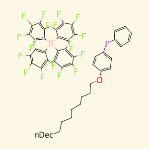 CCCCCCCCCCCCCCCCCCOc1ccc([I+]c2ccccc2)cc1.Fc1c(F)c(F)c([B-](c2c(F)c(F)c(F)c(F)c2F)(c2c(F)c(F)c(F)c(F)c2F)c2c(F)c(F)c(F)c(F)c2F)c(F)c1F